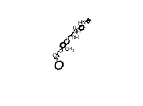 Cc1c(OCC2CN(C3CCCCCCCC3)CO2)ccc2c1CCN(C[C@@H](O)CNC(=O)c1ccnc(NC34CC(C3)C4)c1)C2